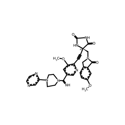 COc1ccc2c(c1)C(=O)N(C[C@@]1(C#Cc3ncc(C(=N)N4CCN(c5cnccn5)CC4)cc3OC)NC(=O)NC1=O)C2